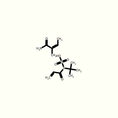 C=CC(=O)N(C(C)(C)C)S(=O)(=O)O.CC=C(C)C(N)=O